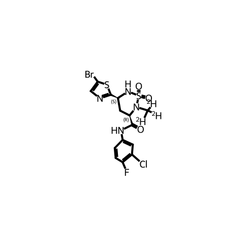 [2H]C([2H])([2H])N1[C@@H](C(=O)Nc2ccc(F)c(Cl)c2)C[C@@H](c2ncc(Br)s2)NS1(=O)=O